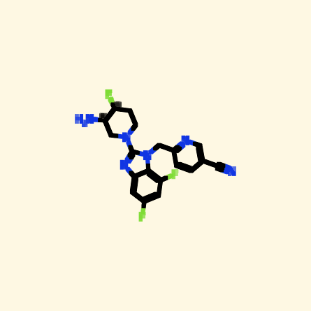 N#Cc1ccc(Cn2c(N3CC[C@H](F)[C@H](N)C3)nc3cc(F)cc(F)c32)nc1